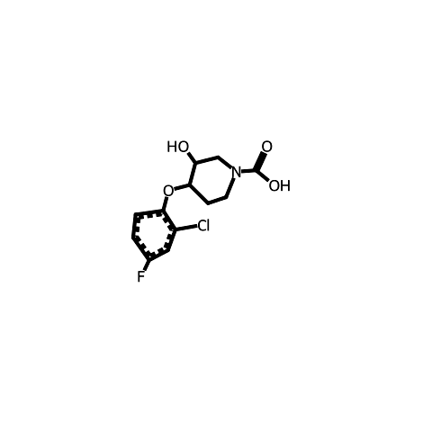 O=C(O)N1CCC(Oc2ccc(F)cc2Cl)C(O)C1